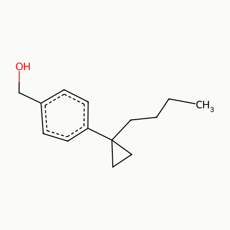 CCCCC1(c2ccc(CO)cc2)CC1